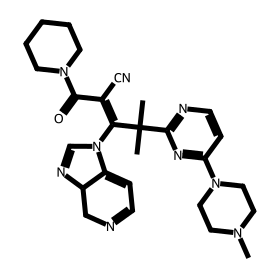 CN1CCN(c2ccnc(C(C)(C)C(=C(C#N)C(=O)N3CCCCC3)N3C=NC4CN=CC=C43)n2)CC1